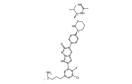 CC(=N)N[C@@H](C[C@@H]1CCC[C@@H](c2ccc(-n3cc4cc(-c5cc(CCC[C@H](C)N)cc(Cl)c5F)[nH]c4nc3=O)cc2)N1)C(C)C